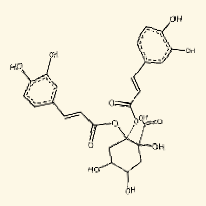 O=C(C=Cc1ccc(O)c(O)c1)OC1(OC(=O)C=Cc2ccc(O)c(O)c2)CC(O)C(O)CC1(O)C(=O)O